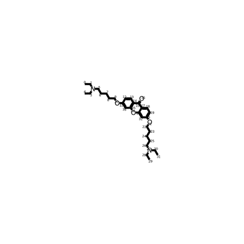 CCN(CC)CCCCCOc1ccc2c(=O)c3ccc(OCCCCCN(CC)CC)cc3oc2c1